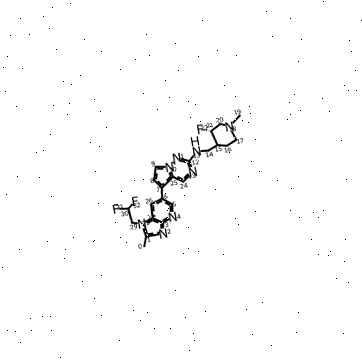 Cc1nc2ncc(-c3ccn4nc(NCC5CCN(C)C[C@H]5F)ncc34)cc2n1CC(F)F